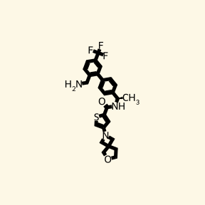 C[C@@H](NC(=O)c1cc(N2CC3(CCOC3)C2)cs1)c1ccc(-c2cc(C(F)(F)F)ccc2CN)cc1